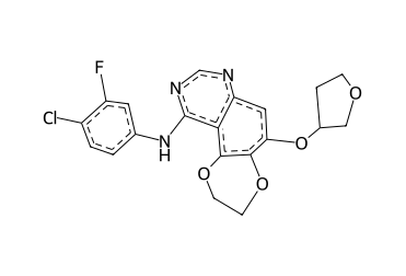 Fc1cc(Nc2ncnc3cc(OC4CCOC4)c4c(c23)OCCO4)ccc1Cl